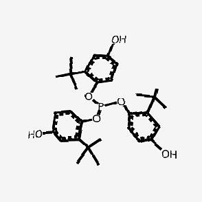 CC(C)(C)c1cc(O)ccc1OP(Oc1ccc(O)cc1C(C)(C)C)Oc1ccc(O)cc1C(C)(C)C